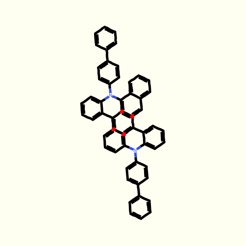 c1ccc(-c2ccc(N(c3ccccc3)c3ccccc3-c3ccc(-c4ccccc4N(c4ccc(-c5ccccc5)cc4)c4cccc5ccccc45)cc3)cc2)cc1